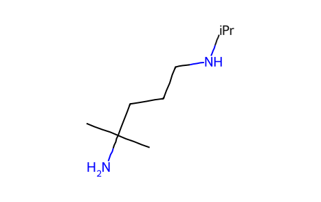 CC(C)NCCCC(C)(C)N